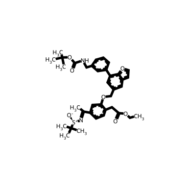 CCOC(=O)Cc1ccc(C(C)=N[S@+]([O-])C(C)(C)C)cc1OCc1cc(-c2cccc(CNC(=O)OC(C)(C)C)c2)c2occc2c1